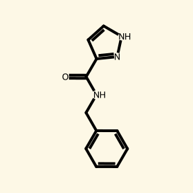 O=C(NCc1ccccc1)c1cc[nH]n1